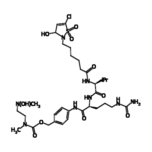 CC(C)[C@H](NC(=O)CCCCCN1C(O)C=C(Cl)S1(=O)=O)C(=O)N[C@@H](CCCNC(N)=O)C(=O)Nc1ccc(COC(=O)N(C)CCN(C)O)cc1